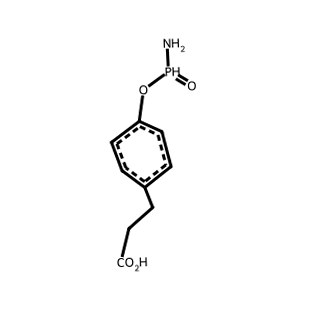 N[PH](=O)Oc1ccc(CCC(=O)O)cc1